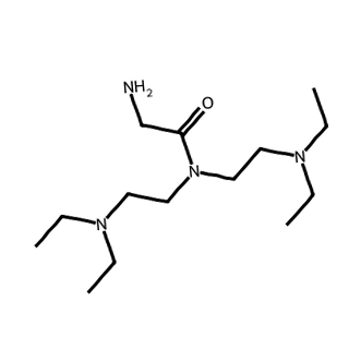 CCN(CC)CCN(CCN(CC)CC)C(=O)CN